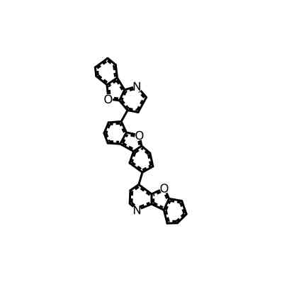 c1ccc2c(c1)oc1c(-c3ccc4oc5c(-c6ccnc7c6oc6ccccc67)cccc5c4c3)ccnc12